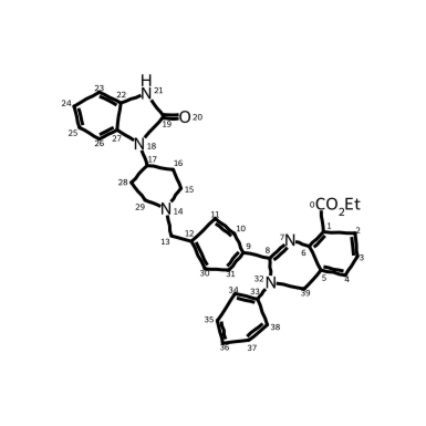 CCOC(=O)c1cccc2c1N=C(c1ccc(CN3CCC(n4c(=O)[nH]c5ccccc54)CC3)cc1)N(c1ccccc1)C2